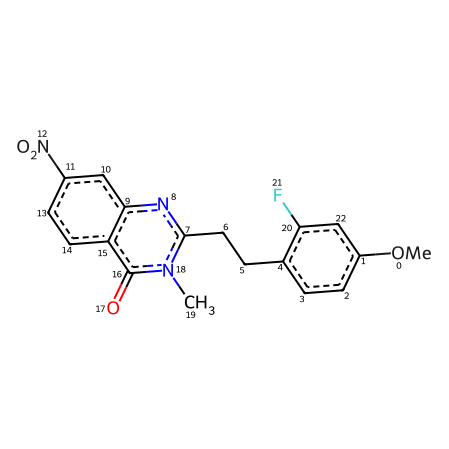 COc1ccc(CCc2nc3cc([N+](=O)[O-])ccc3c(=O)n2C)c(F)c1